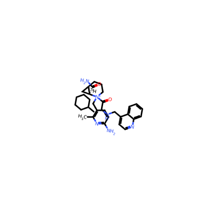 Cc1nc(N)ccc1C[N+]1(C(=O)[C@@H](CC2CCCCC2)NCc2ccnc3ccccc23)CCC[C@@H]2C[C@@]21C(N)=O